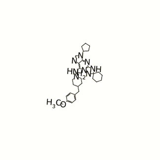 COc1ccc(CC2CCN(Nc3nc(NC4(N)CCCCC4)nc4c3ncn4C3CCCC3)CC2)cc1